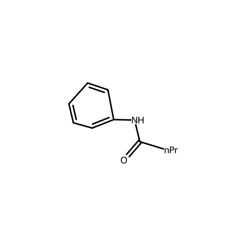 C[C]CC(=O)Nc1ccccc1